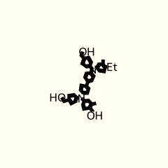 CCc1ccc(N(c2ccc(CO)cc2)c2ccc(-c3ccc(N(c4ccc(CO)cc4)c4ccc(CO)c(C)c4)cc3)cc2)cc1C